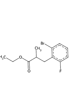 CCOC(=O)C(C)Cc1c(F)cccc1Br